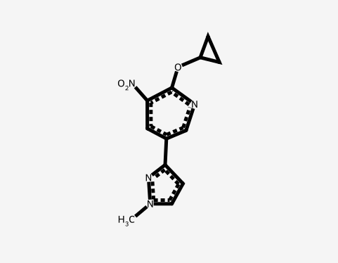 Cn1ccc(-c2cnc(OC3CC3)c([N+](=O)[O-])c2)n1